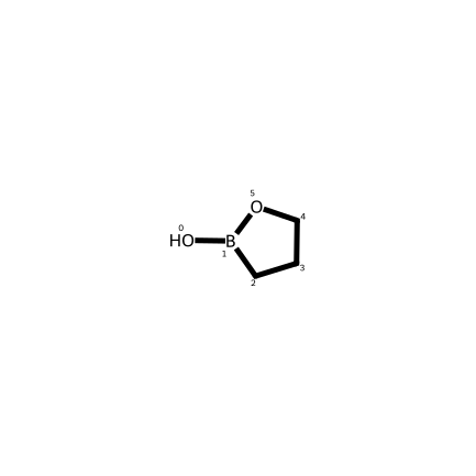 OB1CCCO1